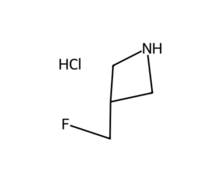 Cl.FCC1CNC1